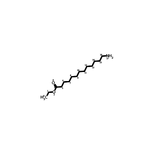 CCOC(=O)CCCCCCCCCCCCN